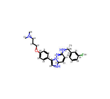 C[C@@H](NC1=NN2C(c3ccc(OCCCN(C)C)cc3)=CNC2C=C1)c1cccc(F)c1